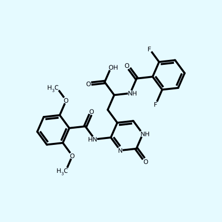 COc1cccc(OC)c1C(=O)Nc1nc(=O)[nH]cc1CC(NC(=O)c1c(F)cccc1F)C(=O)O